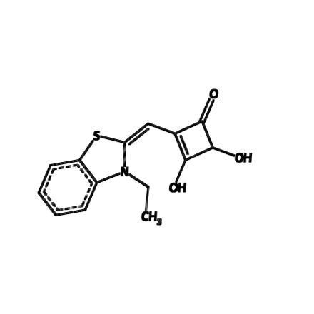 CCN1/C(=C\C2=C(O)C(O)C2=O)Sc2ccccc21